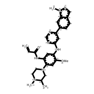 C=CC(=O)Nc1cc(Nc2cc(-c3ccc4cnn(C)c4c3)ncn2)c(OC)cc1N1CCN(C)C(C)C1